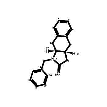 O=C1C[C@H]2Cc3ccccc3C[C@H]2N1Cc1ccccc1